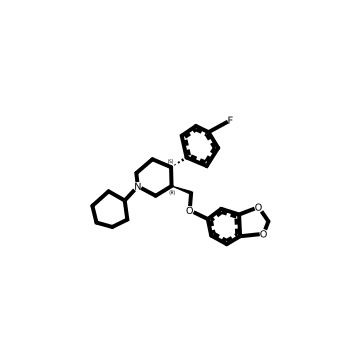 Fc1ccc([C@H]2CCN(C3CCCCC3)C[C@@H]2COc2ccc3c(c2)OCO3)cc1